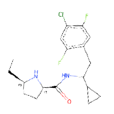 CC[C@@H]1CC[C@H](C(=O)NC(Cc2cc(F)c(Cl)cc2F)C2CC2)N1